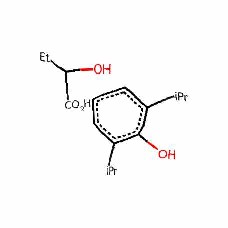 CC(C)c1cccc(C(C)C)c1O.CCC(O)C(=O)O